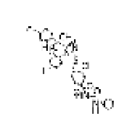 CC(C)(c1ccc(Cl)cc1)c1cnc(SCc2ccc(S(=O)(=O)NC(=O)NN3CCCC3)cc2Cl)n1-c1ccc(F)cc1F